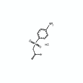 C=C(Br)CS(=O)(=O)c1ccc(N)cc1.Cl